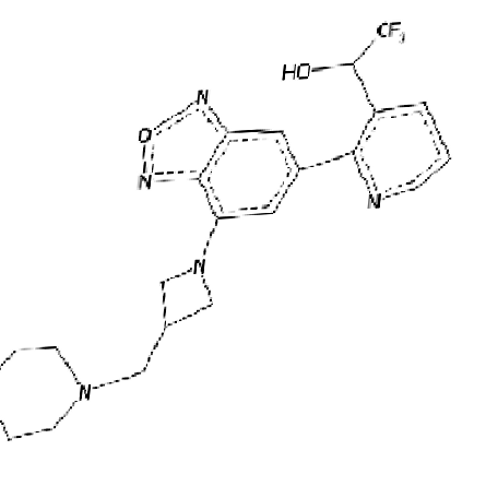 OC(c1cccnc1-c1cc(N2CC(CN3CCOCC3)C2)c2nonc2c1)C(F)(F)F